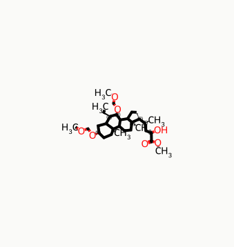 CC[C@@H]1C2C[C@H](OCOC)CC[C@]2(C)C2CC[C@@]3(C)C(CC[C@@H]3[C@H](C)CC(O)C(=O)OC)C2[C@@H]1OCOC